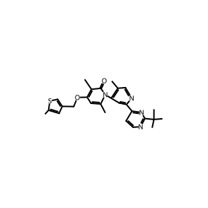 Cc1cc(COc2cc(C)n(-c3cc(-c4ccnc(C(C)(C)C)n4)ncc3C)c(=O)c2C)cs1